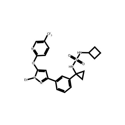 CCn1nc(-c2cccc(C3(NS(=O)(=O)NC4CCC4)CC3)c2)cc1Oc1ccc(C(F)(F)F)cn1